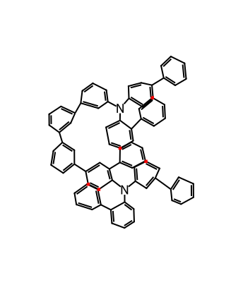 c1ccc(-c2ccc(N(c3cccc(-c4cccc(-c5cccc(-c6ccc(N(c7cccc(-c8ccccc8)c7)c7ccccc7-c7ccccc7)c(-c7ccccc7)c6)c5)c4)c3)c3ccccc3-c3ccccc3)cc2)cc1